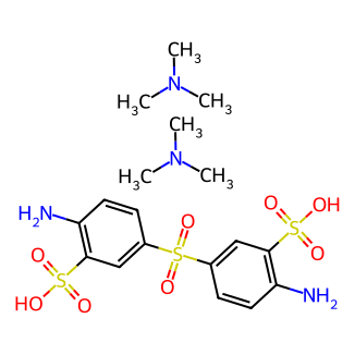 CN(C)C.CN(C)C.Nc1ccc(S(=O)(=O)c2ccc(N)c(S(=O)(=O)O)c2)cc1S(=O)(=O)O